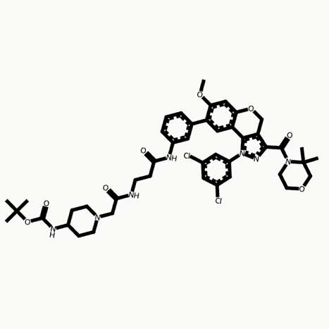 COc1cc2c(cc1-c1cccc(NC(=O)CCNC(=O)CN3CCC(NC(=O)OC(C)(C)C)CC3)c1)-c1c(c(C(=O)N3CCOCC3(C)C)nn1-c1cc(Cl)cc(Cl)c1)CO2